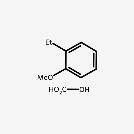 CCc1ccccc1OC.O=C(O)O